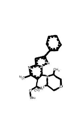 Cc1nc2cc(-c3ccccc3)nn2c(N2C(C)COCC2C)c1C(OC(C)(C)C)C(=O)O